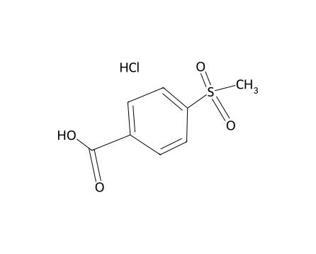 CS(=O)(=O)c1ccc(C(=O)O)cc1.Cl